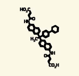 CC(c1ccc(C2=CC=CCC2)cc1)(c1ccc2cc(NC(=O)/C=C/C(=O)O)ccc2c1)c1ccc2cc(NC(=O)/C=C/C(=O)O)ccc2c1